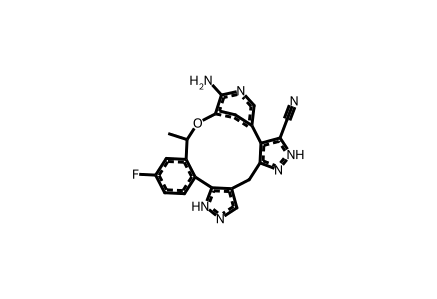 CC1Oc2cc(cnc2N)-c2c(n[nH]c2C#N)Cc2cn[nH]c2-c2ccc(F)cc21